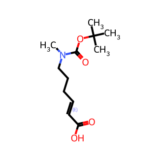 CN(CCC/C=C/C(=O)O)C(=O)OC(C)(C)C